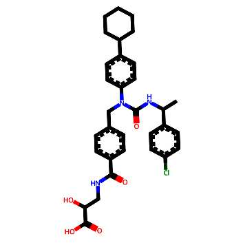 CC(NC(=O)N(Cc1ccc(C(=O)NCC(O)C(=O)O)cc1)c1ccc(C2CCCCC2)cc1)c1ccc(Cl)cc1